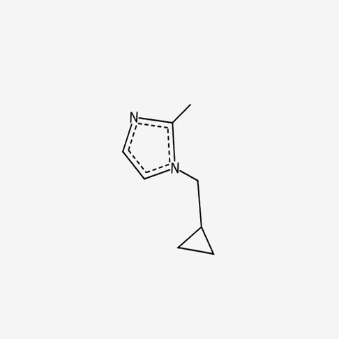 Cc1nccn1CC1CC1